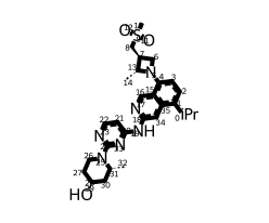 CC(C)c1ccc(N2C[C@H](CS(C)(=O)=O)[C@H]2C)c2cnc(Nc3ccnc(N4CC[C@@H](O)C[C@H]4C)n3)cc12